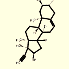 C#C[C@]1(O)[C@H](O)C[C@H]2[C@@H]3CC=C4C[C@@H](O)[C@H](O)C[C@]4(C)[C@H]3CC[C@@]21C